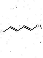 CC=CC=[CH][Pt]